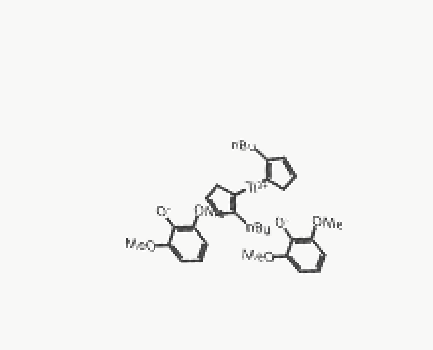 CCCCC1=[C]([Ti+2][C]2=C(CCCC)C=CC2)CC=C1.COc1cccc(OC)c1[O-].COc1cccc(OC)c1[O-]